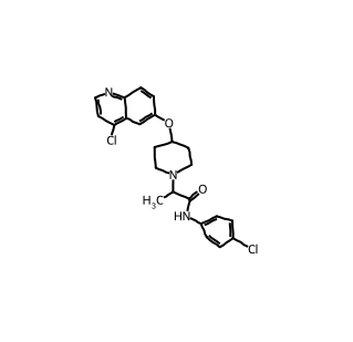 CC(C(=O)Nc1ccc(Cl)cc1)N1CCC(Oc2ccc3nccc(Cl)c3c2)CC1